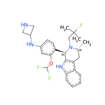 C[C@@H]1Cc2c([nH]c3ccccc23)[C@@H](c2ccc(NC3CNC3)cc2OC(F)F)N1CC(C)(C)F